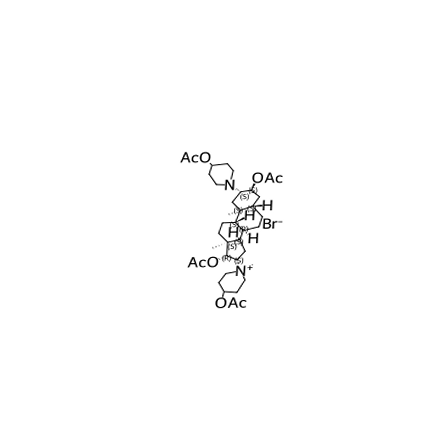 CC(=O)OC1CCN([C@H]2C[C@@]3(C)[C@@H](CC[C@@H]4[C@@H]3CC[C@@]3(C)[C@H]4C[C@H]([N+]4(C)CCC(OC(C)=O)CC4)[C@@H]3OC(C)=O)C[C@@H]2OC(C)=O)CC1.[Br-]